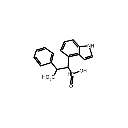 O=C(O)C(c1ccccc1)C(c1cccc2[nH]ccc12)[PH](=O)O